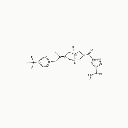 CNC(=O)c1cnn(C(=O)N2C[C@H]3C[C@@H](N(C)Cc4ccc(C(F)(F)F)cc4)C[C@H]3C2)c1